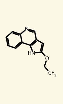 FC(F)(F)COc1cc2cnc3ccccc3c2[nH]1